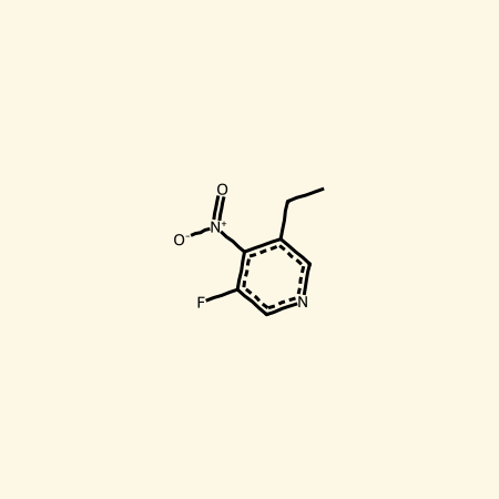 CCc1cncc(F)c1[N+](=O)[O-]